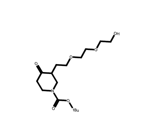 CC(C)(C)OC(=O)N1CCC(=O)C(CCOCCOCCO)C1